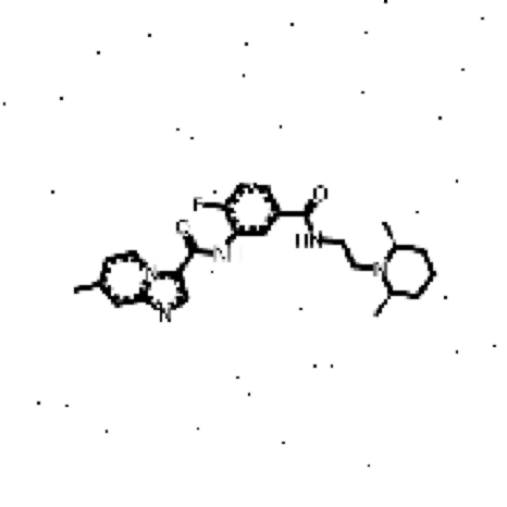 Cc1ccn2c(C(=O)Nc3cc(C(=O)NCCN4[C@H](C)CCC[C@@H]4C)ccc3F)cnc2c1